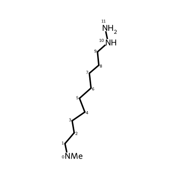 CNCCCCCCCCCNN